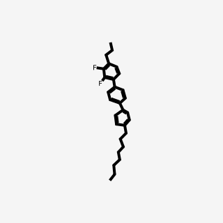 CCCCCCCCc1ccc(-c2ccc(-c3ccc(CCC)c(F)c3F)cc2)cc1